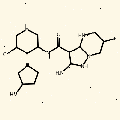 NC1NN2CC(F)CNC2C1C(=O)NC1CNCC(Cl)C1N1CCC(O)C1